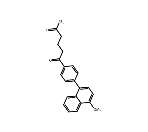 COc1ccc(-c2ccc(C(=O)CCCC(=O)C(F)(F)F)cc2)c2ccccc12